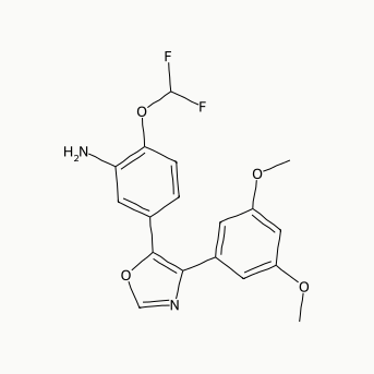 COc1cc(OC)cc(-c2ncoc2-c2ccc(OC(F)F)c(N)c2)c1